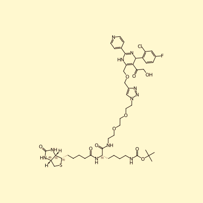 CC(C)(C)OC(=O)NCCCC[C@H](NC(=O)CCCC[C@@H]1SC[C@@H]2NC(=O)N[C@@H]21)C(=O)NCCOCCOCCn1cc(COCC2=C(C(=O)CO)C(c3ccc(F)cc3Cl)N=C(c3ccncc3)N2)nn1